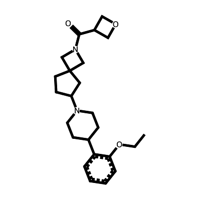 CCOc1ccccc1C1CCN(C2CCC3(C2)CN(C(=O)C2COC2)C3)CC1